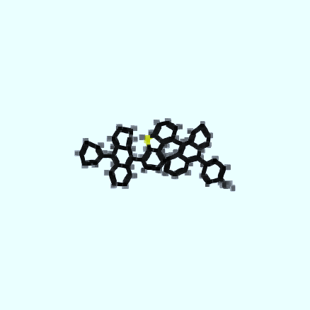 FC(F)(F)c1ccc(-c2c3ccccc3c(-c3cccc4sc5c(-c6c7ccccc7c(-c7ccccc7)c7ccccc67)cccc5c34)c3ccccc23)cc1